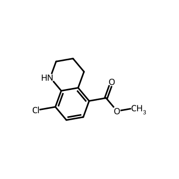 COC(=O)c1ccc(Cl)c2c1CCCN2